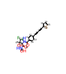 CC(O)(C(F)F)C(NC(=O)c1ccc(C#CC#Cc2cccs2)cc1)C(=O)NO